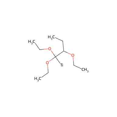 CCOC(CC)[C]([Ti])(OCC)OCC